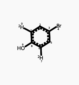 [2H]c1cc(Br)cc([2H])c1O